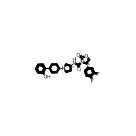 O=C(N[C@@H]1CCN([C@H]2CC[C@H](c3ccccc3O)CC2)C1)N1C(=O)OC[C@@H]1c1ccc(F)c(F)c1